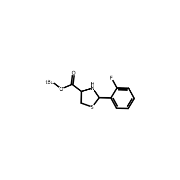 CC(C)(C)OC(=O)C1CSC(c2ccccc2F)N1